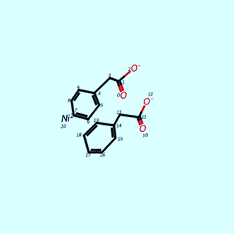 O=C([O-])Cc1ccccc1.O=C([O-])Cc1ccccc1.[Ni+2]